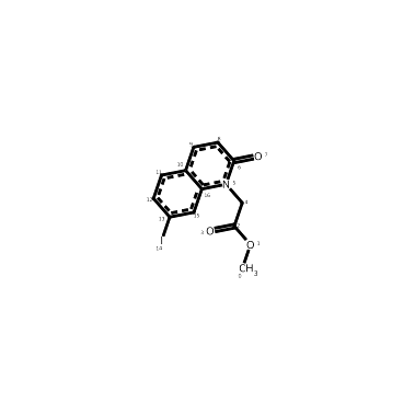 COC(=O)Cn1c(=O)ccc2ccc(I)cc21